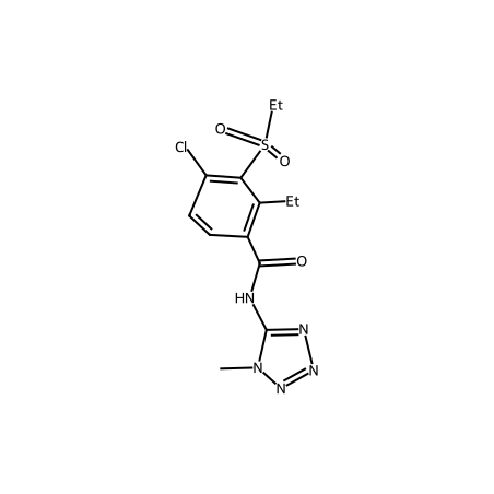 CCc1c(C(=O)Nc2nnnn2C)ccc(Cl)c1S(=O)(=O)CC